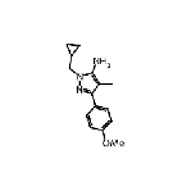 COc1ccc(-c2nn(CC3CC3)c(N)c2C)cc1